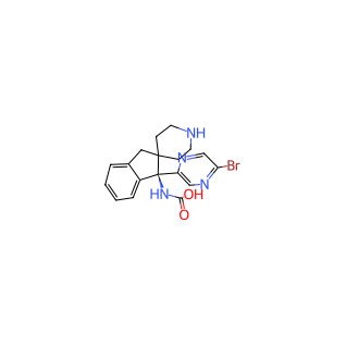 O=C(O)N[C@@]1(c2cnc(Br)cn2)c2ccccc2CC12CCNCC2